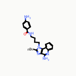 CCCCc1nc2c(N)nc3ccccc3c2n1CCCCNC(=O)c1ccc(N)cc1